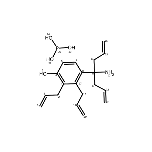 C=CCc1c(O)ccc(C(N)(CC=C)CC=C)c1CC=C.OP(O)O